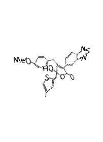 COc1ccc(CC2=C(c3ccc4nsnc4c3)C(=O)OC2(O)c2cc(C)cs2)cc1